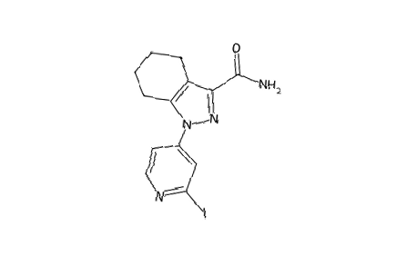 NC(=O)c1nn(-c2ccnc(I)c2)c2c1CCCC2